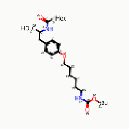 CCCCCCC(=O)NC(Cc1ccc(OCCCCCCNC(=O)OC(C)(C)C)cc1)C(=O)O